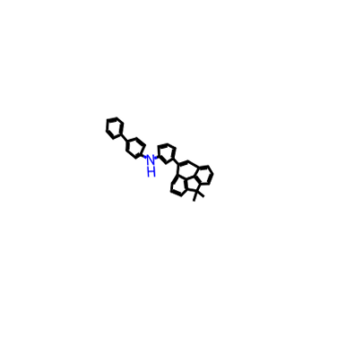 CC1(C)c2cccc3cc(-c4cccc(Nc5ccc(-c6ccccc6)cc5)c4)c4cccc1c4c23